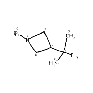 CC(C)N1CC(C(C)(C)F)C1